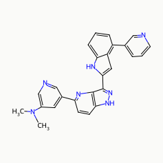 CN(C)c1cncc(-c2ccc3[nH]nc(-c4cc5c(-c6cccnc6)cccc5[nH]4)c3n2)c1